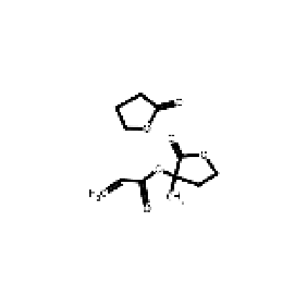 C=CC(=O)OC1(C)CCOC1=O.O=C1CCCO1